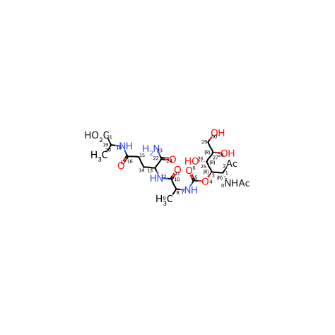 CC(=O)N[C@@H](C(C)=O)[C@@H](OC(=O)NC(C)C(=O)NC(CCC(=O)NC(C)C(=O)O)C(N)=O)[C@H](O)[C@H](O)CO